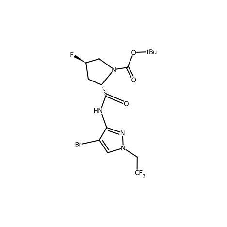 CC(C)(C)OC(=O)N1C[C@H](F)C[C@H]1C(=O)Nc1nn(CC(F)(F)F)cc1Br